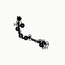 O=C(NC(c1ccccc1)c1cccc(OCC2CCN(Cc3ccc(C(=O)OCCCCNCC(O)c4ccc(O)c5[nH]c(=O)ccc45)cc3)CC2)c1)OC1CN2CCC1CC2